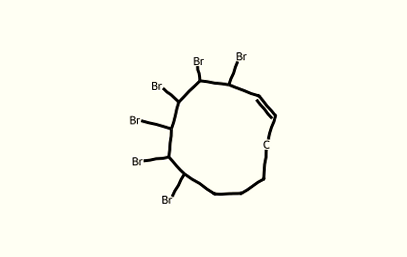 BrC1C=CCCCCC(Br)C(Br)C(Br)C(Br)C1Br